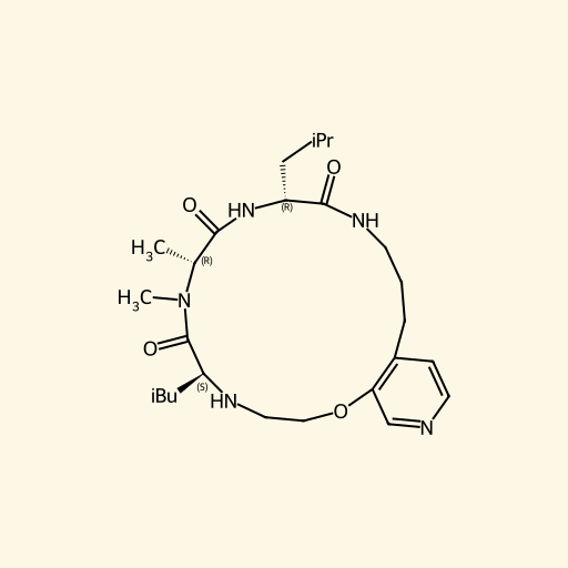 CCC(C)[C@@H]1NCCOc2cnccc2CCCNC(=O)[C@@H](CC(C)C)NC(=O)[C@@H](C)N(C)C1=O